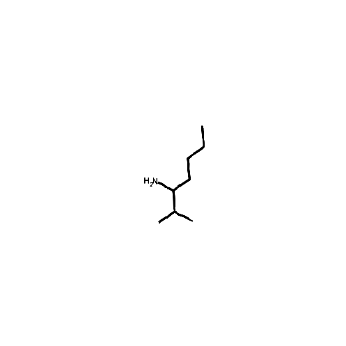 CCCCC(N)C(C)C